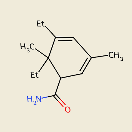 CCC1=CC(C)=CC(C(N)=O)C1(C)CC